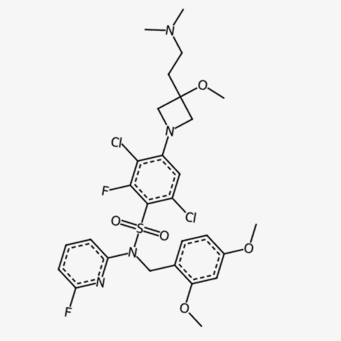 COc1ccc(CN(c2cccc(F)n2)S(=O)(=O)c2c(Cl)cc(N3CC(CCN(C)C)(OC)C3)c(Cl)c2F)c(OC)c1